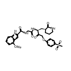 COc1cccc2[nH]c(C(=O)NCC(=O)N[C@@H](C[C@@H]3CCCNC3=O)C(=O)COc3ccc(S(C)(=O)=O)cc3)cc12